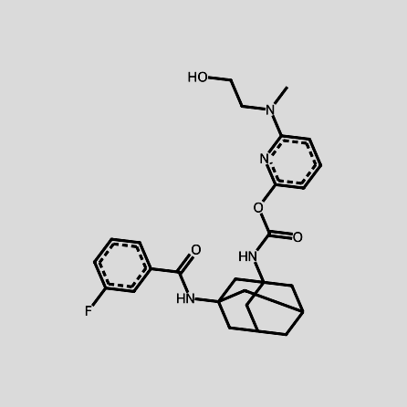 CN(CCO)c1cccc(OC(=O)NC23CC4CC(C2)CC(NC(=O)c2cccc(F)c2)(C4)C3)n1